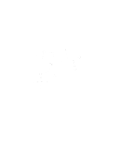 CCOC(=O)C(F)CC1COC(C)(C)N1C(=O)OC(C)(C)C